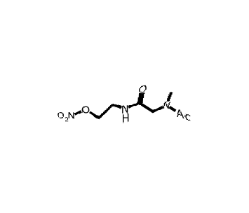 CC(=O)N(C)CC(=O)NCCO[N+](=O)[O-]